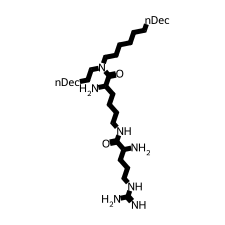 CCCCCCCCCCCCCCCCN(CCCCCCCCCCCC)C(=O)C(N)CCCCNC(=O)C(N)CCCNC(=N)N